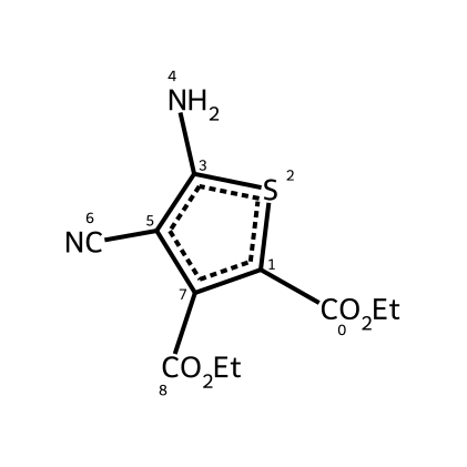 CCOC(=O)c1sc(N)c(C#N)c1C(=O)OCC